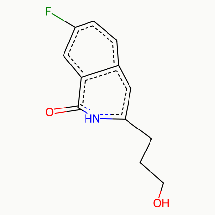 O=c1[nH]c(CCCO)cc2ccc(F)cc12